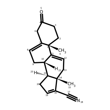 C[C@]12CCC(=O)CC1=CC[C@@H]1C2=CC[C@]2(C)C(C#N)=CC[C@@H]12